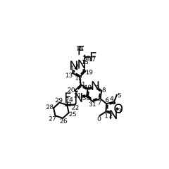 Cc1noc(C)c1-c1cnc2c(-c3cnn(C(F)F)c3)cn(CC3(F)CCCCC3)c2c1